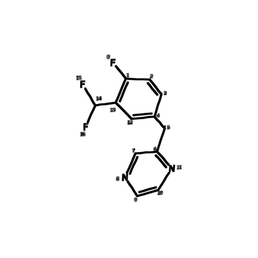 Fc1ccc([CH]c2cnccn2)cc1C(F)F